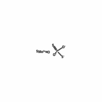 [O-]P([O-])(=S)[S-].[O]=[Mo+3]=[S]